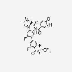 C[C@@H]1CN(c2cc(F)c(-c3cc(F)c(C(=O)N(C)CC(F)(F)F)c(F)c3)cc2NC(=O)c2c[nH]c(=O)cc2C(F)(F)F)C[C@H](C)N1C